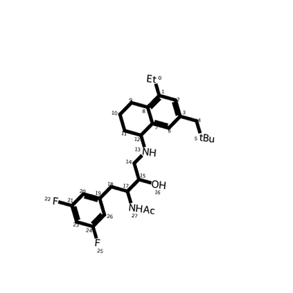 CCc1cc(CC(C)(C)C)cc2c1CCCC2NCC(O)C(Cc1cc(F)cc(F)c1)NC(C)=O